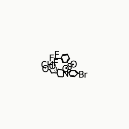 COC(=O)CC1CCN(c2ccc(Br)cc2S(=O)(=O)c2cccc(C(F)(F)F)c2)CC1